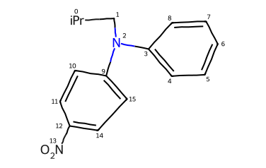 CC(C)CN(c1ccccc1)c1ccc([N+](=O)[O-])cc1